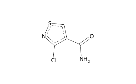 NC(=O)c1csnc1Cl